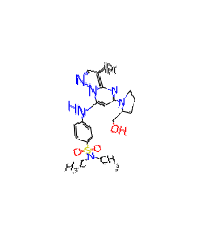 CC(C)c1cnn2c(Nc3ccc(S(=O)(=O)N(C)C)cc3)cc(N3CCCC3CO)nc12